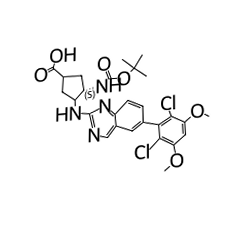 COc1cc(OC)c(Cl)c(-c2ccc3nc(NC4CC(C(=O)O)C[C@@H]4NC(=O)OC(C)(C)C)ncc3c2)c1Cl